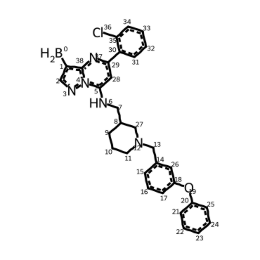 Bc1cnn2c(NCC3CCCN(Cc4cccc(Oc5ccccc5)c4)C3)cc(-c3ccccc3Cl)nc12